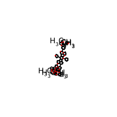 CC1(C)CCC2c3cc(-c4ccc5c6c(-c7ccccc7)c7c8ccc(-c9ccc%10c(c9)C9CCC(C)(C)C9(C)N%10c9ccccc9)c9c(-c%10ccc%11c(c%10)C%10CCC(C)(C)C%10(C)N%11c%10ccccc%10)ccc(c7c(-c7ccccc7)c6c6cccc4c65)c98)ccc3N(c3ccccc3)C21C